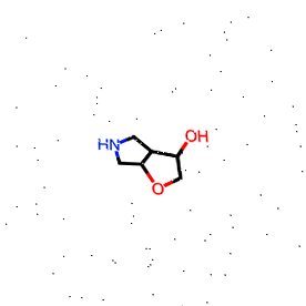 OC1COC2CNCC12